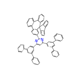 c1ccc(-c2cc(-c3ccccc3)cc(-c3cc(-c4cc(-c5ccccc5)cc(-c5ccccc5)c4)nc(-c4ccc5c(c4)C4(c6ccccc6-c6ccccc6-5)c5ccccc5-c5ccccc54)n3)c2)cc1